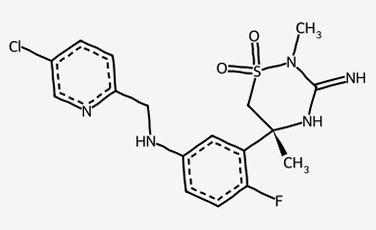 CN1C(=N)N[C@](C)(c2cc(NCc3ccc(Cl)cn3)ccc2F)CS1(=O)=O